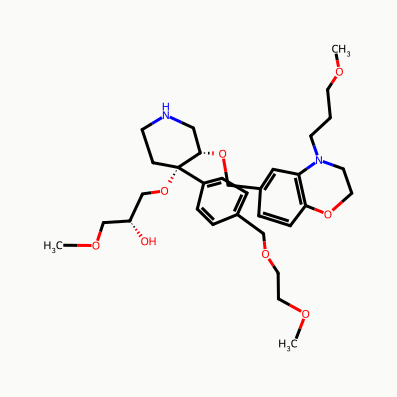 COCCCN1CCOc2ccc(CO[C@H]3CNCC[C@]3(OC[C@H](O)COC)c3ccc(COCCOC)cc3)cc21